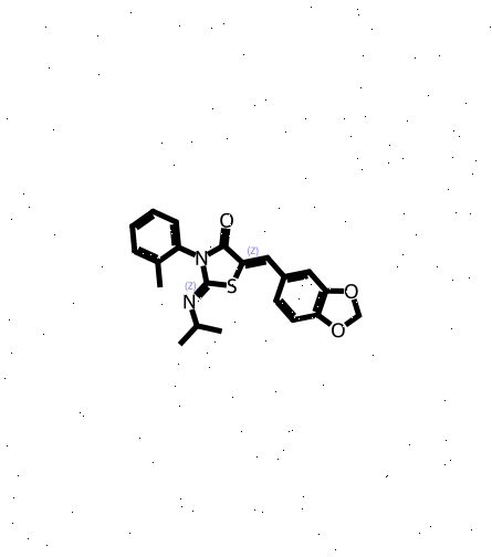 Cc1ccccc1N1C(=O)/C(=C/c2ccc3c(c2)OCO3)S/C1=N\C(C)C